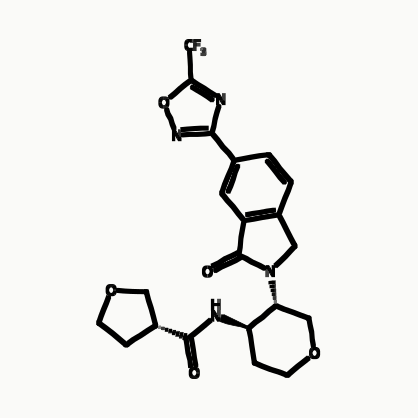 O=C(N[C@@H]1CCOC[C@H]1N1Cc2ccc(-c3noc(C(F)(F)F)n3)cc2C1=O)[C@@H]1CCOC1